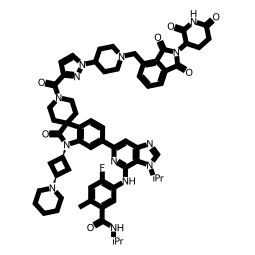 Cc1cc(F)c(Nc2nc(-c3ccc4c(c3)N([C@H]3C[C@@H](N5CCCCC5)C3)C(=O)C43CCN(C(=O)c4ccn(C5CCN(Cc6cccc7c6C(=O)N(C6CCC(=O)NC6=O)C7=O)CC5)n4)CC3)cc3ncn(C(C)C)c23)cc1C(=O)NC(C)C